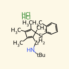 CC1=C(C)C(C)([SiH2]c2ccccc2C)[C]([Zr][NH]C(C)(C)C)=C1C.Cl.Cl